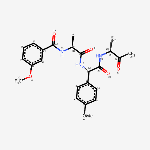 COc1ccc([C@H](NC(=O)[C@H](C)NC(=O)c2cccc(OC(F)(F)F)c2)C(=O)N[C@H](C(=O)C(F)(F)F)C(C)C)cc1